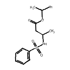 CC(CC(=O)OC(C)C(C)C)NS(=O)(=O)c1ccccc1